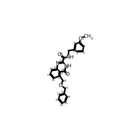 COc1cccc(CNC(=O)c2nc3cccc(COCc4ccccc4)c3c(=O)[nH]2)c1